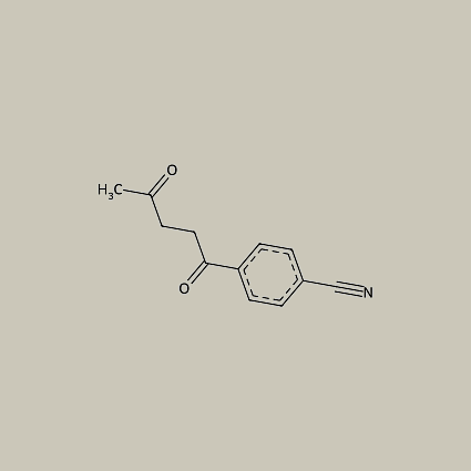 CC(=O)CCC(=O)c1ccc(C#N)cc1